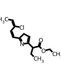 C/C=C(Cl)\C=C/C1=NC(C(CC)C(=O)OCC)=CC1